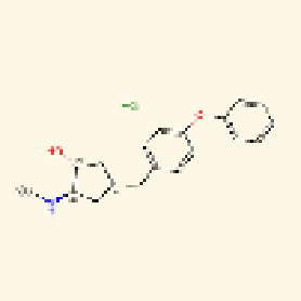 CCCCN[C@@H]1C[C@@H](Cc2ccc(Oc3ccccc3)cc2)C[C@H]1O.Cl